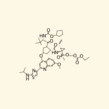 C=C[C@@H]1C[C@]1(NC(=O)[C@@H]1CC(Oc2cc(-c3csc(NC(C)C)n3)nc3cc(OC)ccc23)CC1C(=O)[C@@H](NC(=O)OC1CCCC1)C(C)(C)C)P(C)(=O)OCOC(=O)OCC